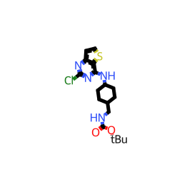 CC(C)(C)OC(=O)NCC1CCC(Nc2nc(Cl)nc3ccsc23)CC1